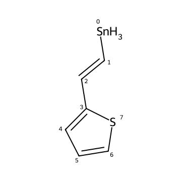 [SnH3][CH]=Cc1cccs1